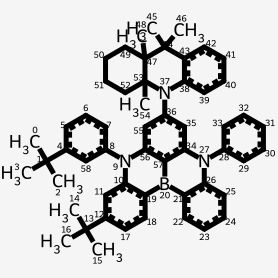 CC(C)(C)c1cccc(N2c3cc(C(C)(C)C)ccc3B3c4ccccc4N(c4ccccc4)c4cc(N5c6ccccc6C(C)(C)C6(C)CCCCC56C)cc2c43)c1